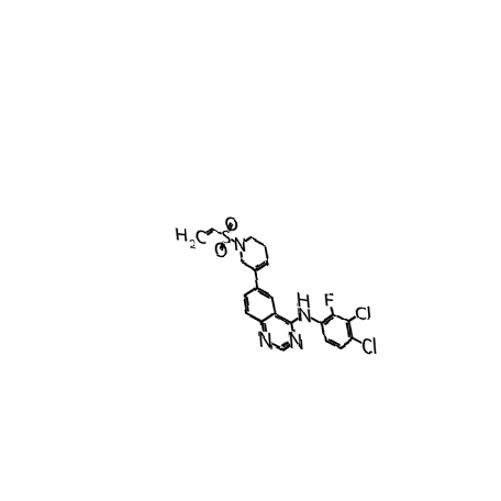 C=CS(=O)(=O)N1CCC=C(c2ccc3ncnc(Nc4ccc(Cl)c(Cl)c4F)c3c2)C1